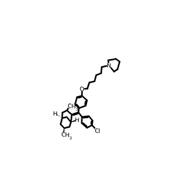 CC1C[C@@H]2C[C@H](C)C[C@H](C2)/C1=C(\c1ccc(Cl)cc1)c1ccc(OCCCCCCN2CCCCC2)cc1